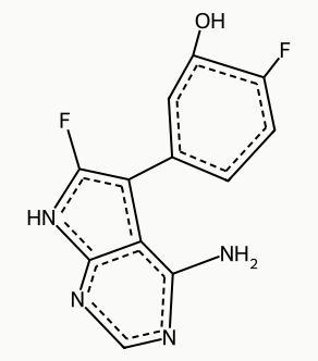 Nc1ncnc2[nH]c(F)c(-c3ccc(F)c(O)c3)c12